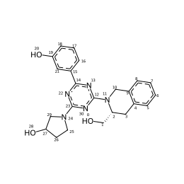 OC[C@H]1Cc2ccccc2CN1c1nc(-c2cccc(O)c2)nc(N2CCC(O)C2)n1